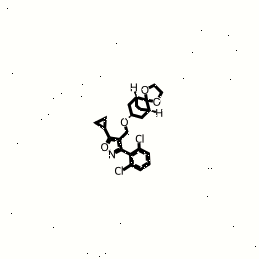 Clc1cccc(Cl)c1-c1noc(C2CC2)c1CO[C@@H]1C[C@H]2CC[C@@H](C1)C21OCCO1